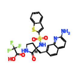 Nc1ccc2ccc(C[C@]3(NS(=O)(=O)c4cc5ccccc5s4)CCNC3=O)cc2n1.O=C(O)C(F)(F)F